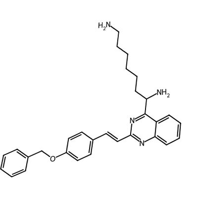 NCCCCCCC(N)c1nc(/C=C/c2ccc(OCc3ccccc3)cc2)nc2ccccc12